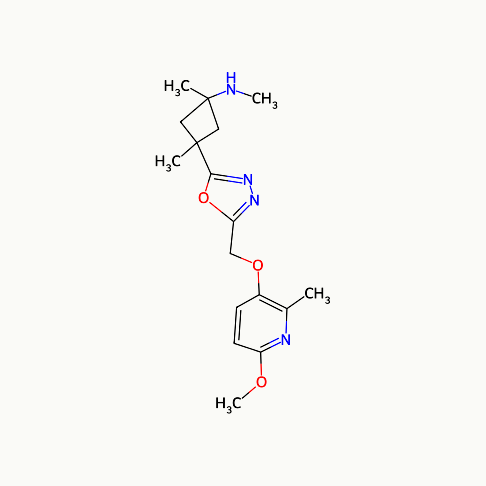 CNC1(C)CC(C)(c2nnc(COc3ccc(OC)nc3C)o2)C1